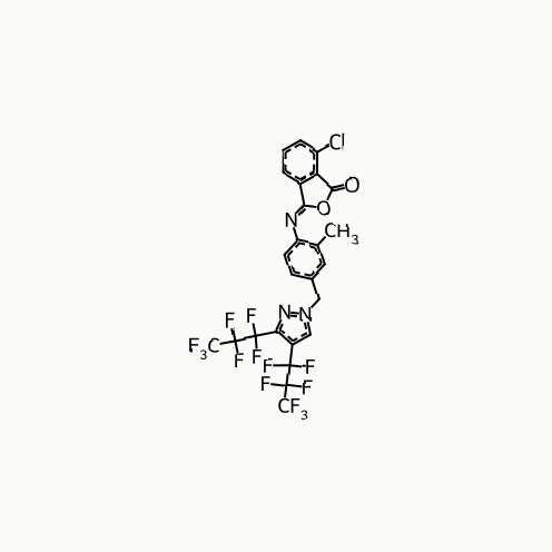 Cc1cc(Cn2cc(C(F)(F)C(F)(F)C(F)(F)F)c(C(F)(F)C(F)(F)C(F)(F)F)n2)ccc1N=C1OC(=O)c2c(Cl)cccc21